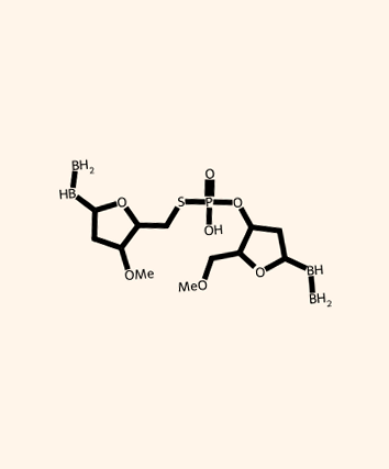 BBC1CC(OC)C(CSP(=O)(O)OC2CC(BB)OC2COC)O1